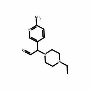 CCN1CCN(C(C=O)c2ccc(N)nc2)CC1